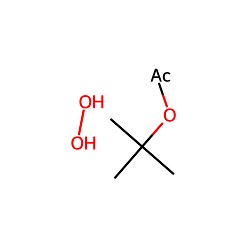 CC(=O)OC(C)(C)C.OO